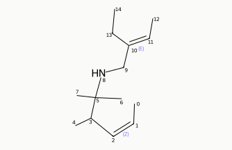 C/C=C\C(C)C(C)(C)NC/C(=C/C)CC